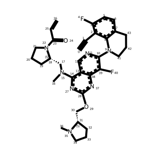 C#Cc1c(F)ccc2c1N(c1ncc3c(N(C)C[C@@H]4CCCN4C(=O)C=C)nc(OC[C@@H]4CCCN4C)nc3c1F)CCC2